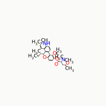 C=CCC1Oc2ccc(OC(=O)C(CC(C)=O)N(C)C)c(OC)c2-c2ccc3c(c21)C(C)=CC(C)(C)N3